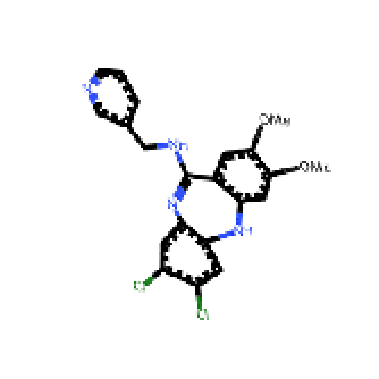 COc1cc2c(cc1OC)C(NCc1cccnc1)=Nc1cc(Cl)c(Cl)cc1N2